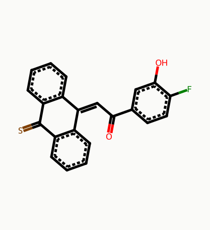 O=C(C=C1c2ccccc2C(=S)c2ccccc21)c1ccc(F)c(O)c1